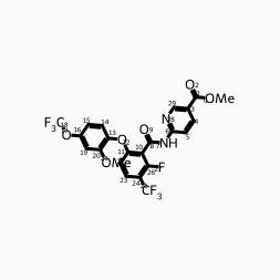 COC(=O)c1ccc(NC(=O)c2c(Oc3ccc(OC(F)(F)F)cc3OC)ccc(C(F)(F)F)c2F)nc1